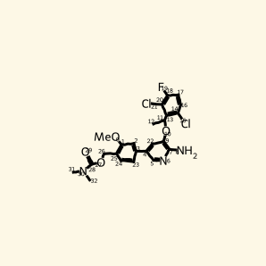 COc1cc(-c2cnc(N)c(OC(C)c3c(Cl)ccc(F)c3Cl)c2)ccc1COC(=O)N(C)C